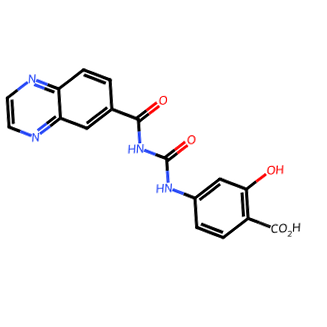 O=C(NC(=O)c1ccc2nccnc2c1)Nc1ccc(C(=O)O)c(O)c1